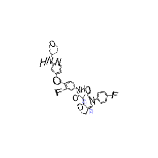 C/C(C(=O)Nc1ccc(Oc2ccnc(NC3CCOCC3)c2)c(F)c1)=C1/OCC/C1=C/N(C=O)c1ccc(F)cc1